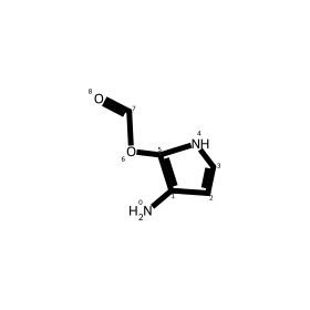 Nc1cc[nH]c1OC=O